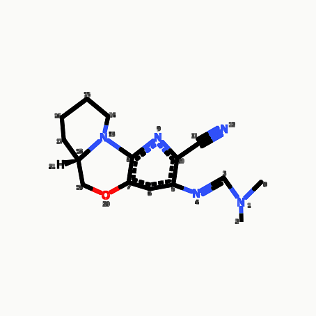 CN(C)/C=N/c1cc2c(nc1C#N)N1CCCC[C@H]1CO2